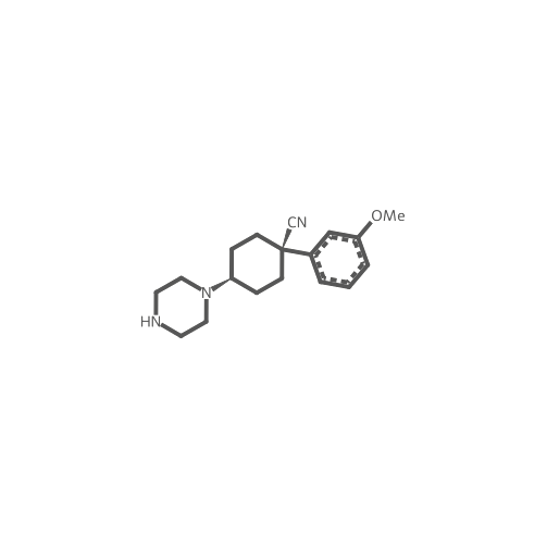 COc1cccc([C@]2(C#N)CC[C@@H](N3CCNCC3)CC2)c1